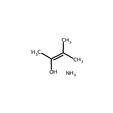 CC(C)=C(C)O.N